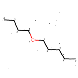 [CH2]CC[CH]OCCCCC